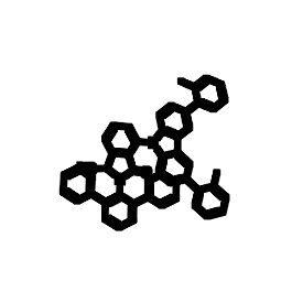 Cc1ccccc1-c1ccc2c(c1)c1cc(-c3ccccc3C)ccc1n2-c1cccc2c1C(=O)N(c1c(-c3ccccc3)cccc1-c1ccccc1)C2O